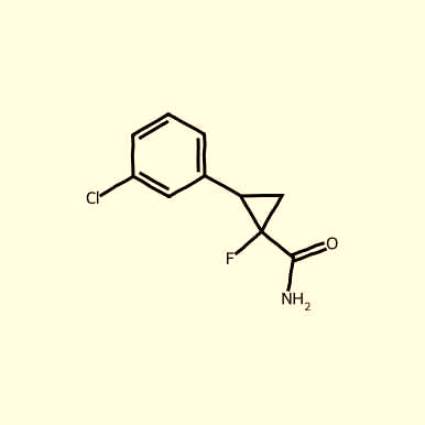 NC(=O)C1(F)CC1c1cccc(Cl)c1